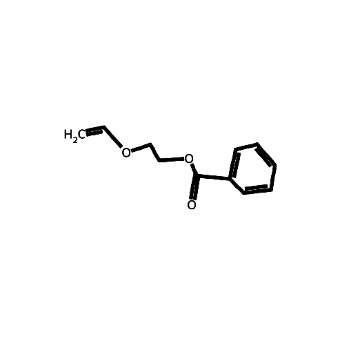 C=COCCOC(=O)c1ccccc1